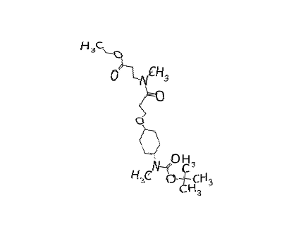 CCOC(=O)CCN(C)C(=O)CCO[C@H]1CC[C@H](N(C)C(=O)OC(C)(C)C)CC1